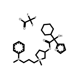 CN(CCC[N+]1(C)CCC(OC(=O)C(O)(c2ccco2)C2CCCCC2)C1)c1ccccc1.O=C([O-])C(F)(F)F